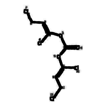 O=C(OC(Cl)=CCCl)OC(Cl)=CCCl